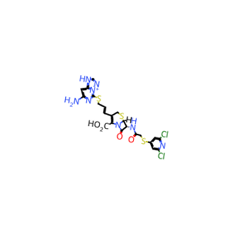 Nc1cc2[nH]cn[n+]2c(SCC=CC2=C(C(=O)O)N3C(=O)[C@@H](NC(=O)CSc4cc(Cl)nc(Cl)c4)[C@H]3SC2)n1